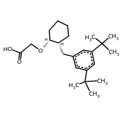 CC(C)(C)c1cc(C[C@H]2CCCC[C@H]2OCC(=O)O)cc(C(C)(C)C)c1